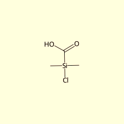 C[Si](C)(Cl)C(=O)O